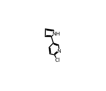 Clc1ccc(-c2ccc[nH]2)cn1